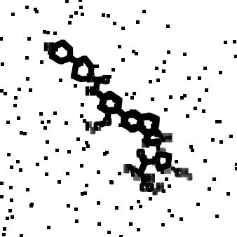 CC(C)[C@H](NC(=O)O)C(=O)N1C[C@@H](C)C[C@H]1c1nc2c(ccc3cc(-c4ccc(NC(=O)N5CCN(C6CCNCC6)CC5)cc4OC(F)(F)F)ccc32)[nH]1